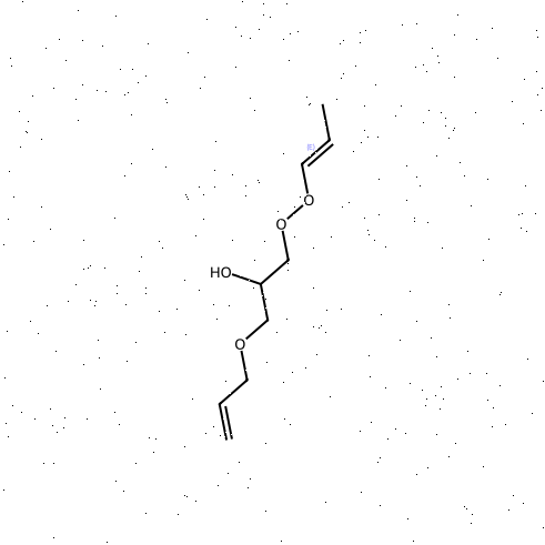 C=CCOCC(O)COO/C=C/C